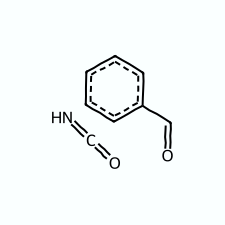 N=C=O.O=Cc1ccccc1